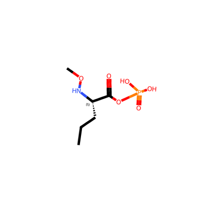 CCC[C@H](NOC)C(=O)OP(=O)(O)O